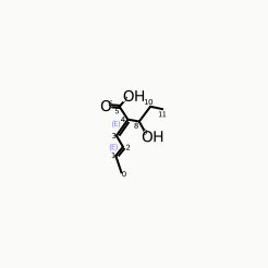 C/C=C/C=C(/C(=O)O)C(O)CC